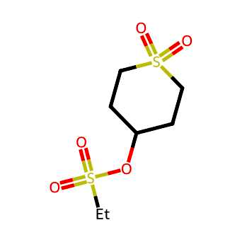 CCS(=O)(=O)OC1CCS(=O)(=O)CC1